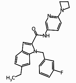 CCc1ccc2cc(C(=O)Nc3ccc(N4CCC4)nc3)n(Cc3cccc(F)c3)c2c1